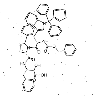 O=C(N[C@@H](Cc1cn(C(c2ccccc2)(c2ccccc2)c2ccccc2)c2ccccc12)C(=O)N1C(c2ccccc2)SC[C@H]1C(=O)N[C@@H](Cc1ccccc1)C(O)C(=O)O)OCc1ccccc1